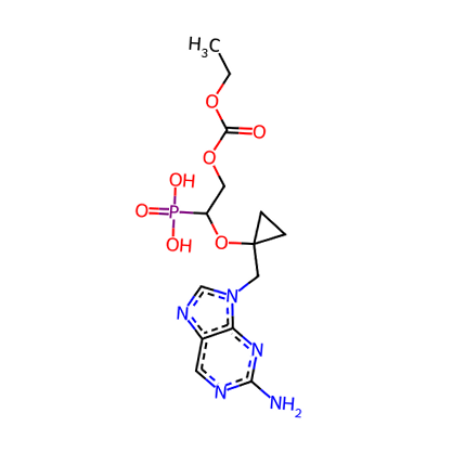 CCOC(=O)OCC(OC1(Cn2cnc3cnc(N)nc32)CC1)P(=O)(O)O